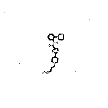 CSCCCN1CCC(c2nc(C(=O)Nc3ccccc3N3CCOCC3)cs2)CC1